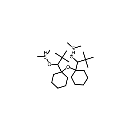 C[SiH](C)OC(C(C)(C)C)C1(OC2(C(O[SiH](C)C)C(C)(C)C)CCCCC2)CCCCC1